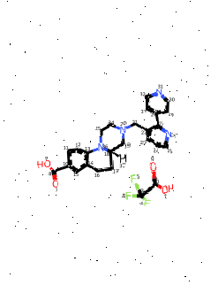 O=C(O)C(F)(F)F.O=C(O)c1ccc2c(c1)CC[C@H]1CN(Cc3cccnc3-c3ccncc3)CCN21